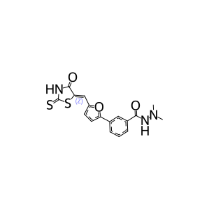 CN(C)NC(=O)c1cccc(-c2ccc(/C=C3\SC(=S)NC3=O)o2)c1